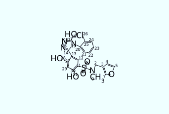 CN(Cc1ccoc1)S(=O)(=O)c1cc(-c2nnc(O)n2-c2ccccc2Cl)c(O)cc1O